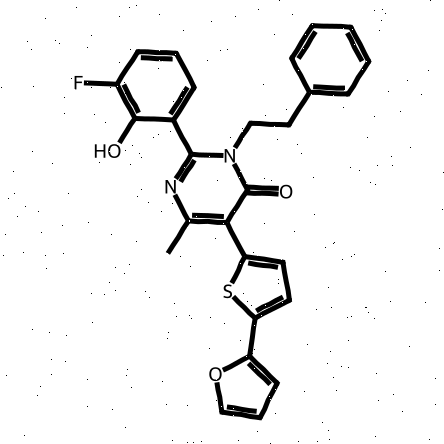 Cc1nc(-c2cccc(F)c2O)n(CCc2ccccc2)c(=O)c1-c1ccc(-c2ccco2)s1